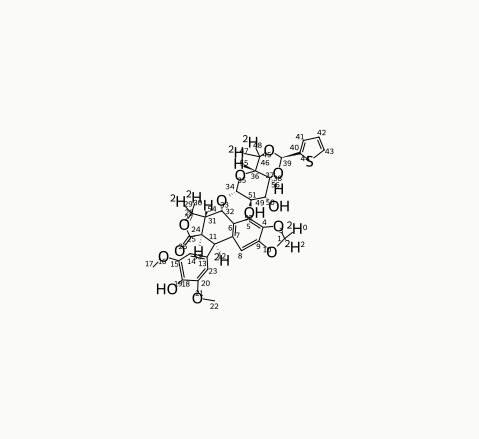 [2H]C1([2H])Oc2cc3c(cc2O1)[C@@]([2H])(c1cc(OC)c(O)c(OC)c1)[C@H]1C(=O)OC([2H])([2H])[C@@H]1[C@@H]3O[C@@H]1O[C@H]2[C@@H](O[C@H](c3cccs3)OC2([2H])[2H])[C@H](O)[C@H]1O